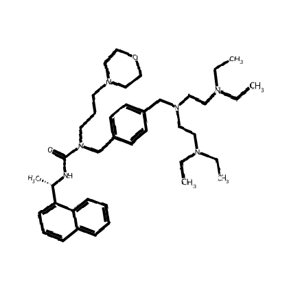 CCN(CC)CCN(CCN(CC)CC)Cc1ccc(CN(CCCN2CCOCC2)C(=O)N[C@@H](C)c2cccc3ccccc23)cc1